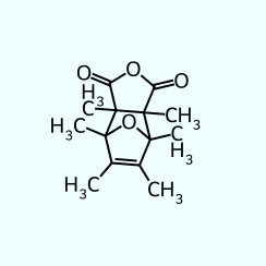 CC1=C(C)C2(C)OC1(C)C1(C)C(=O)OC(=O)C21C